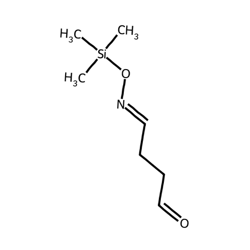 C[Si](C)(C)ON=CCCC=O